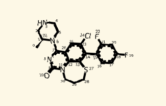 C[C@H]1CNCCN1c1nc(=O)n2c3c(c(-c4ccc(F)cc4F)c(Cl)cc13)SCCC2